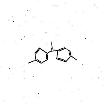 CB(c1ccc(C)cc1)c1ccc(C)cc1